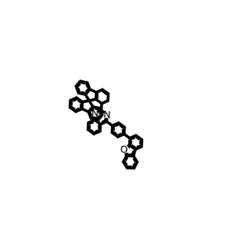 C1=CC2=C(C(c3nc(-c4ccc(-c5cccc6c5oc5ccccc56)cc4)c4ccccc4n3)C1)C1(c3ccccc32)c2ccccc2-c2ccccc21